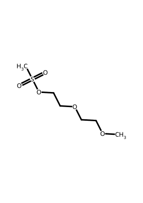 COCCOCCOS(C)(=O)=O